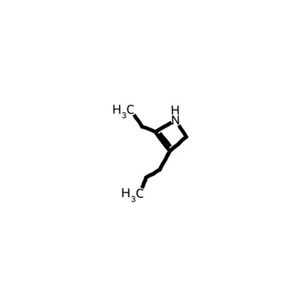 CCCC1=C(CC)NC1